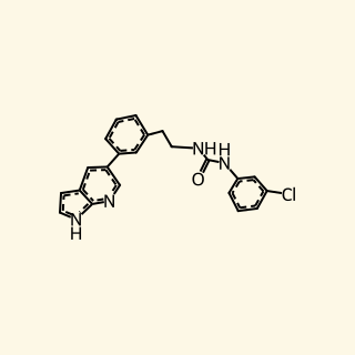 O=C(NCCc1cccc(-c2cnc3[nH]ccc3c2)c1)Nc1cccc(Cl)c1